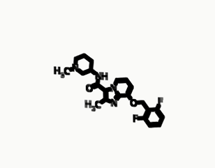 Cc1nc2c(OCc3c(F)cccc3F)cccn2c1C(=O)NC1CCCN(C)C1